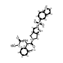 CC(C)(C)OC(=O)NC(C(=O)N1Cc2cn(S(=O)(=O)c3ccc4occc4c3)nc2C1)c1ccccc1F